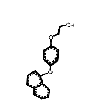 OCCOc1ccc(Oc2cccc3ccccc23)cc1